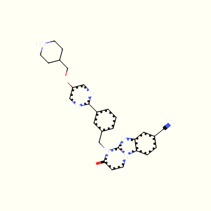 N#Cc1ccc2c(c1)nc1n(Cc3cccc(-c4ncc(OCC5CCNCC5)cn4)c3)c(=O)ccn21